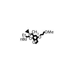 CCCC[C@H](CC)C(=O)N(C1CC1)C(C)c1cc(OCCCOC)c2ccoc2c1